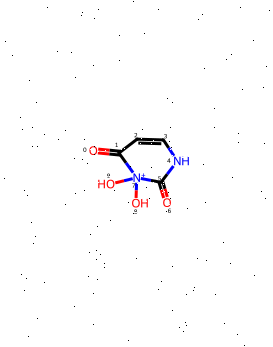 O=C1C=CNC(=O)[N+]1(O)O